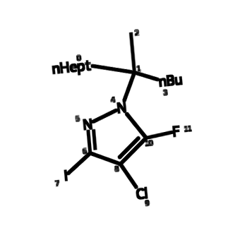 CCCCCCCC(C)(CCCC)n1nc(I)c(Cl)c1F